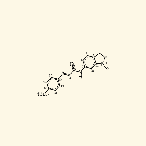 CN1CCc2ccc(NC(=O)C=Cc3ccc(C(C)(C)C)cc3)cc21